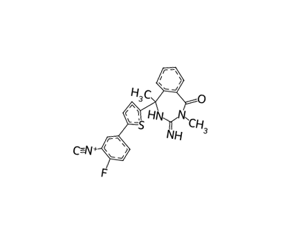 [C-]#[N+]c1cc(-c2ccc(C3(C)NC(=N)N(C)C(=O)c4ccccc43)s2)ccc1F